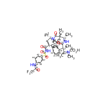 C/C(=C\[C@H](C(C)C)N(C)C(=O)C(C)(C)[C@H](C)NC(=O)[C@](C)(c1ccccc1)C(C)N(C)C(=O)O)C(=O)NS(=O)(=O)c1ccc(NC(=O)C(F)(F)F)cc1